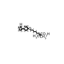 CC(C)(CCCCCCOc1ccc(-c2ccn[nH]2)nc1)C(=O)O